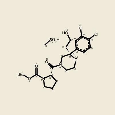 CC(C)(C)OC(=O)N1CCC[C@H]1C(=O)N1CCO[C@](CCO)(c2ccc(Cl)c(Cl)c2)C1.CS(=O)(=O)O